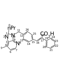 CCCc1nc2c(C)ccnc2n1Cc1ccc(/C=C(\C(=O)O)c2ccccc2)cc1